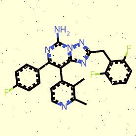 Cc1nccc(-c2c(-c3ccc(F)cc3)nc(N)n3nc(Cc4c(F)cccc4F)nc23)c1C